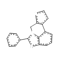 c1ccc(-c2nc3cccc4c3n2Cc2sccc2-4)cc1